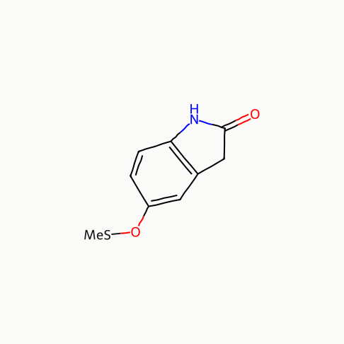 CSOc1ccc2c(c1)CC(=O)N2